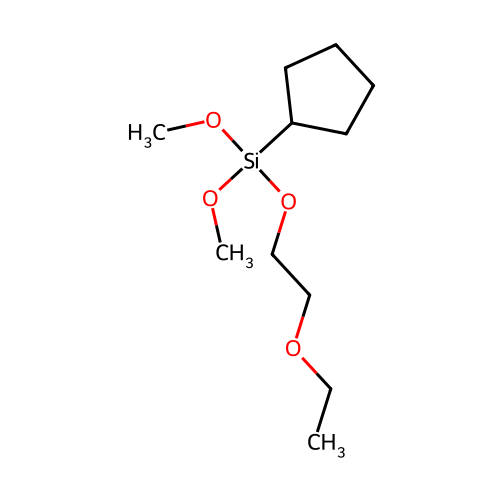 CCOCCO[Si](OC)(OC)C1CCCC1